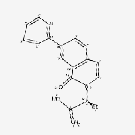 C=C(O)[C@H](CC)n1ccc2ccc(-c3ccccc3)cc2c1=O